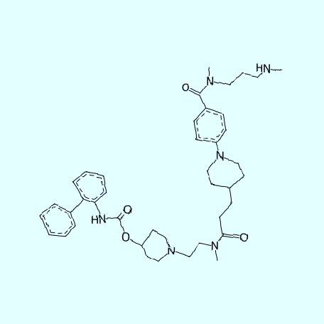 CNCCCN(C)C(=O)c1ccc(N2CCC(CCC(=O)N(C)CCN3CCC(OC(=O)Nc4ccccc4-c4ccccc4)CC3)CC2)cc1